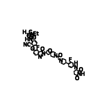 CCN(C)S(=O)(=O)Nc1ccc(F)c(Oc2ccc3ncn(C4COC5(CCN(C(=O)CN6CCC(c7ccc(NC8CCC(=O)NC8=O)cc7F)CC6)CC5)C4)c(=O)c3c2)c1C#N